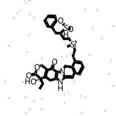 CC[C@@]1(O)C(=O)OCC2=C1CC1=C(C2=O)N2Cc3c(cccc3CC[Si](C)(C)CCC(Cc3ccccc3)[SH](=O)=O)C=C2N1